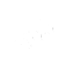 C=C(C)c1ccccc1C(=C)Nc1ccc(OC(F)(F)F)c(C#N)c1